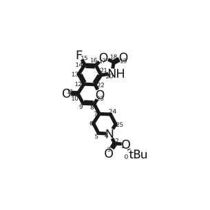 CC(C)(C)OC(=O)N1CCC(c2cc(=O)c3cc(F)c4oc(=O)[nH]c4c3o2)CC1